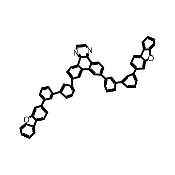 c1cc(-c2cccc(-c3ccc4c(c3)c3cc(-c5cccc(-c6cccc(-c7ccc8c(c7)oc7ccccc78)c6)c5)ccc3c3nccnc43)c2)cc(-c2ccc3c(c2)oc2ccccc23)c1